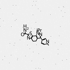 Cc1ccc(-c2nn(C(C)C)c3c2CCc2nc(C(N)=O)sc2-3)cn1